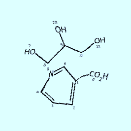 O=C(O)c1cccnc1.OCC(O)CO